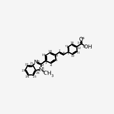 Cn1c(-c2ccc(C=Cc3ccc(C(=O)O)cc3)cc2)nc2ccccc21